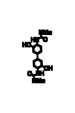 CNC(=O)Nc1ccc(-c2ccc(NC(=O)NC)c(O)c2)cc1O